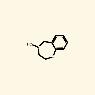 ON1CCOc2ccccc2C1